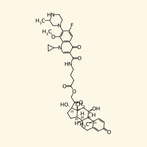 COc1c(N2CCNC(C)C2)c(F)cc2c(=O)c(C(=O)NCCCC(=O)OCC(=O)[C@]3(O)CC[C@@H]4[C@H]5CCC6=CC(=O)C=C[C@@]6(C)[C@@H]5[C@H](O)C[C@]43C)cn(C3CC3)c12